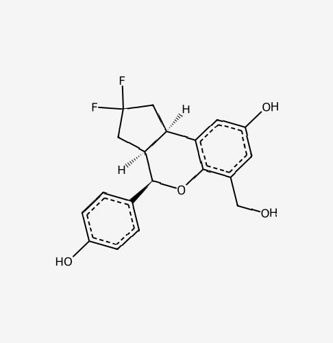 OCc1cc(O)cc2c1O[C@@H](c1ccc(O)cc1)[C@H]1CC(F)(F)C[C@@H]21